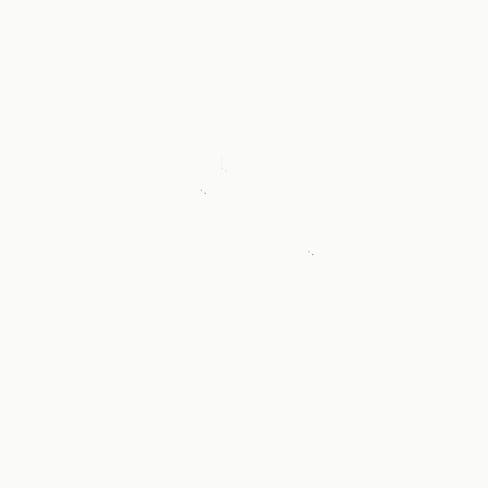 FC(F)(F)c1ccc(-c2n[nH]cc2-c2ccncc2)cc1